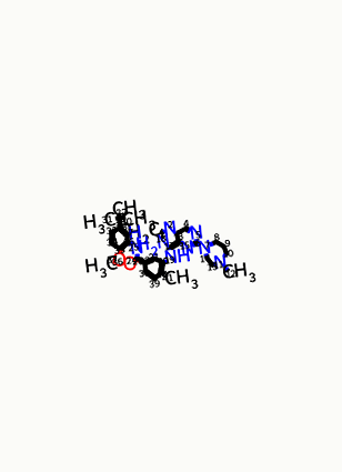 C=C/N=C1/C=NC(N2CCCN(C)CC2)=N/C1=C(/N)Nc1cc(C(=O)Nc2cc(C(C)(C)C)ccc2OC)ccc1C